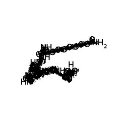 COc1ccc(C#CCNC2(C)CCN(C3CCN(c4nc([C@@](COCNC(=O)CNC(=O)[C@H](COCCOCCOCCOCCOCCOCCOCCOCCC(N)=O)CC(N)=O)(OC5CC5)c5ccccc5)c5cc(-c6cn(C)c(=O)c7[nH]ccc67)ccc5n4)CC3)CC2)cc1N1CCC(=O)NC1=O